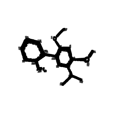 COc1cc(OC)c(C(C)C)cc1-c1ccccc1N